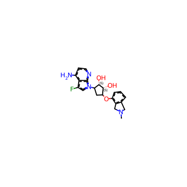 CN1Cc2cccc(OC3CC(n4cc(F)c5c(N)ccnc54)[C@H](O)[C@@H]3O)c2C1